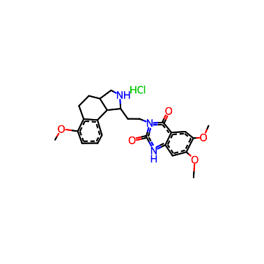 COc1cc2[nH]c(=O)n(CCC3NCC4CCc5c(OC)cccc5C43)c(=O)c2cc1OC.Cl